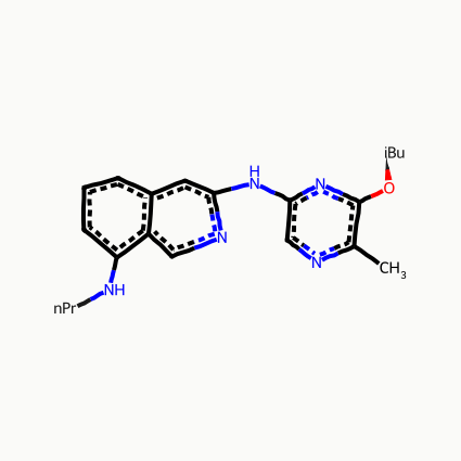 CCCNc1cccc2cc(Nc3cnc(C)c(O[C@H](C)CC)n3)ncc12